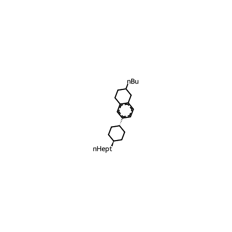 CCCCCCC[C@H]1CC[C@H](c2ccc3c(c2)CCC(CCCC)C3)CC1